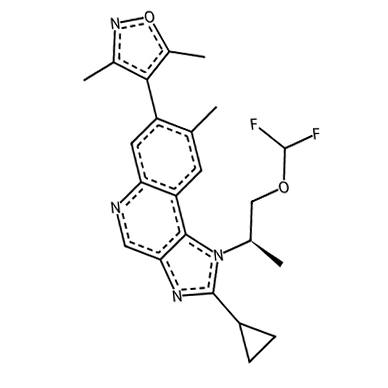 Cc1cc2c(cc1-c1c(C)noc1C)ncc1nc(C3CC3)n([C@H](C)COC(F)F)c12